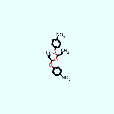 C=CC(Oc1ccc([N+](=O)[O-])cc1)OC(C=C)Oc1ccc([N+](=O)[O-])cc1